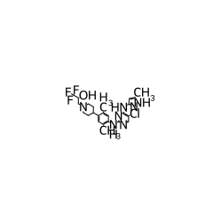 Cc1cc(Nc2nc(Nc3cc(C)c(C4CCN(CC(O)C(F)(F)F)CC4)cc3C)ncc2Cl)n[nH]1